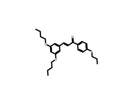 CCCCOc1cc(C=CC(=O)c2ccc(SCCC)cc2)cc(OCCCC)c1